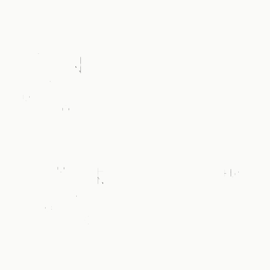 O=S(=O)([O-])Nc1cccc2ccccc12.O=S(=O)([O-])Nc1cccc2ccccc12.[Pb+2]